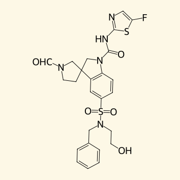 O=CN1CCC2(C1)CN(C(=O)Nc1ncc(F)s1)c1ccc(S(=O)(=O)N(CCO)Cc3ccccc3)cc12